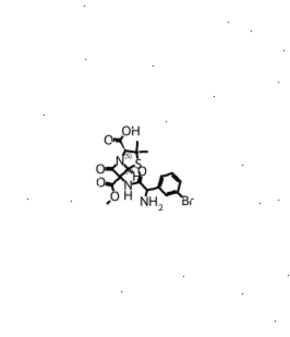 COC(=O)C1(NC(=O)C(N)c2cccc(Br)c2)C(=O)N2[C@@H](C(=O)O)C(C)(C)S[C@@H]21